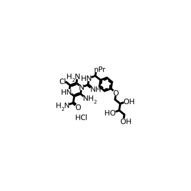 CCCC(NC(=N)N1C(N)=C(Cl)NC(C(N)=O)=C1N)c1ccc(OCC(O)C(O)CO)cc1.Cl